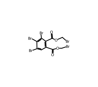 O=C(OCBr)c1cc(Br)c(Br)c(Br)c1C(=O)OCBr